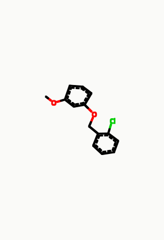 COc1cccc(OCc2ccccc2Cl)c1